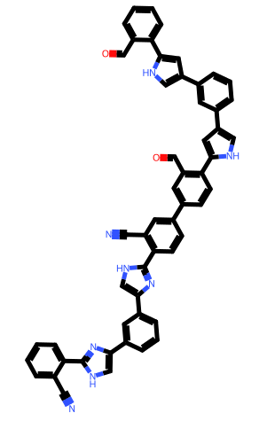 N#Cc1ccccc1-c1nc(-c2cccc(-c3c[nH]c(-c4ccc(-c5ccc(-c6cc(-c7cccc(-c8c[nH]c(-c9ccccc9C=O)c8)c7)c[nH]6)c(C=O)c5)cc4C#N)n3)c2)c[nH]1